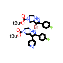 CC(C)(C)OC(=O)N1CCn2nc(-c3ccc(F)cc3)c(-c3ccncc3)c2C1.CC(C)(C)OC(=O)N1CCn2nc(-c3ccc(F)cc3)c(Br)c2C1